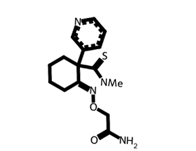 CNC(=S)C1(c2cccnc2)CCCC/C1=N\OCC(N)=O